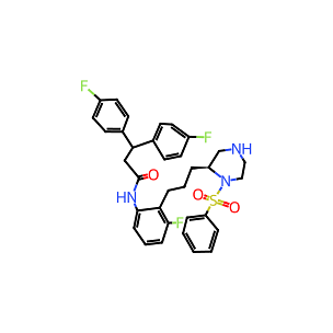 O=C(CC(c1ccc(F)cc1)c1ccc(F)cc1)Nc1cccc(F)c1CCC[C@H]1CNCCN1S(=O)(=O)c1ccccc1